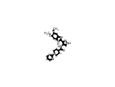 COC1=Cc2nc(-c3n[nH]cc3NC(=O)C3CCN(c4ncccn4)CC3)[nH]c2CC1OC